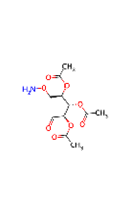 CC(=O)O[C@H]([C@H](C=O)OC(C)=O)[C@@H](CON)OC(C)=O